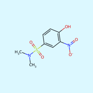 CN(C)S(=O)(=O)c1ccc(O)c([N+](=O)[O-])c1